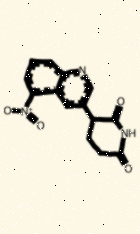 O=C1CCC(c2cnc3cccc([N+](=O)[O-])c3c2)C(=O)N1